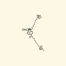 NC(=O)CCCCCCCCCCC(=O)c1ccc(C(=O)CCCCCCCCCCC(N)=O)c2c(C(=O)[C]=O)cccc12